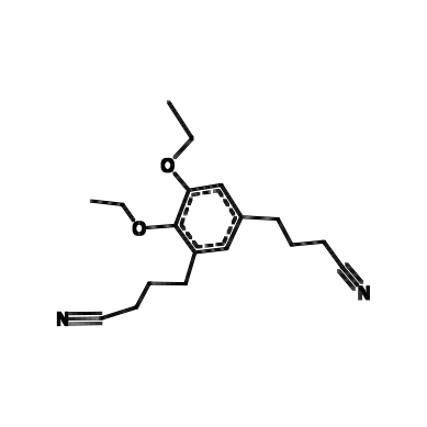 CCOc1cc(CCCC#N)cc(CCCC#N)c1OCC